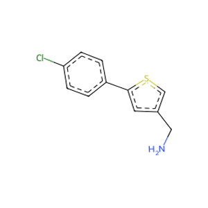 NCc1csc(-c2ccc(Cl)cc2)c1